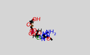 CCOc1nc(N)nc2c1ncn2[C@@H]1O[C@@H]2COP(=O)(OCCSC(=O)C(C)(C)CO)O[C@H]2[C@@]1(C)Cl